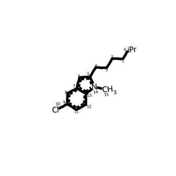 CC(C)CCCCc1cc2cc(Cl)ccc2n1C